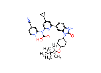 CC(C)(C)[Si](C)(C)OC1CCC(n2c(=O)[nH]c3ccc(-c4cc(C5CC5)cc(N(C(=O)O)c5cc(C#N)ccn5)n4)cc32)CC1